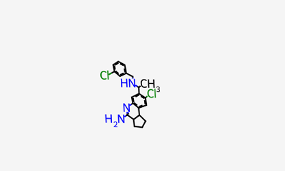 CC(NCc1cccc(Cl)c1)c1cc2c(cc1Cl)C1CCCC1C(N)=N2